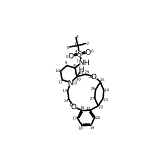 CC(C)(C)S(=O)(=O)NC1CCCN2CCOc3ccccc3C3CCC(CC3)OC[C@@H]12